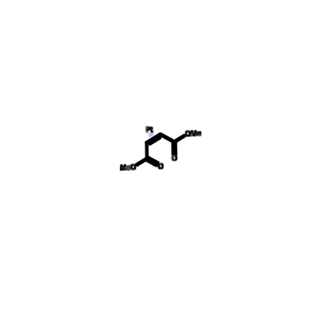 COC(=O)/C=C\C(=O)OC.[Pt]